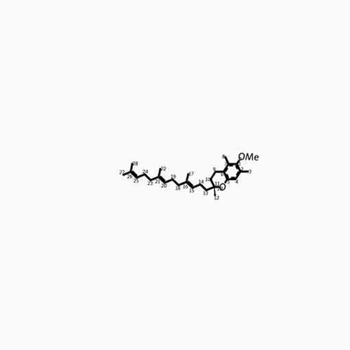 COc1c(C)cc2c(c1C)CC[C@@](C)(CC/C=C(\C)CC/C=C(\C)CCC=C(C)C)O2